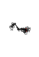 COc1cc([C@H]2CN(C3CC(C#Cc4cccc5c4CN(C4CCC(=O)NC4=O)C5=O)C3)CCO2)ccc1NC(=O)[C@@H]1N[C@@H](CC(C)(C)C)[C@@]2(CNc3cc(Cl)ccc32)[C@H]1c1cccc(Cl)c1F